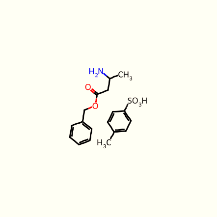 CC(N)CC(=O)OCc1ccccc1.Cc1ccc(S(=O)(=O)O)cc1